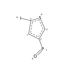 O=Pc1csc(I)c1